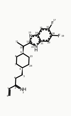 C=CC(=N)CC[C@H]1CC[C@@H](C(C)c2nc3cc(F)c(F)cc3[nH]2)CC1